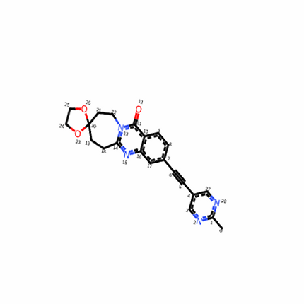 Cc1ncc(C#Cc2ccc3c(=O)n4c(nc3c2)CCC2(CC4)OCCO2)cn1